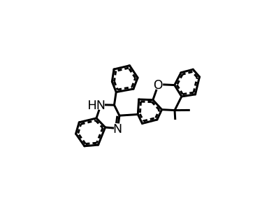 CC1(C)c2ccccc2Oc2cc(C3=Nc4ccccc4NC3c3ccccc3)ccc21